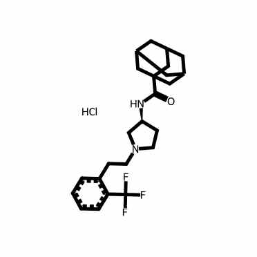 Cl.O=C(N[C@H]1CCN(CCc2ccccc2C(F)(F)F)C1)C12CC3CC(CC(C3)C1)C2